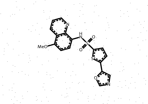 COc1ccc(NS(=O)(=O)c2ccc(-c3cnco3)s2)c2ncccc12